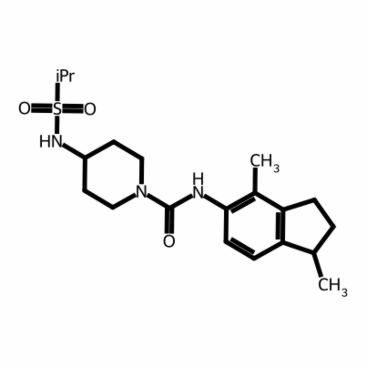 Cc1c(NC(=O)N2CCC(NS(=O)(=O)C(C)C)CC2)ccc2c1CCC2C